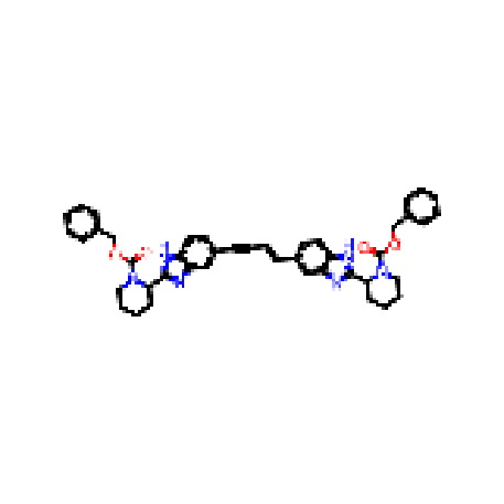 O=C(OCc1ccccc1)N1CCCCC1c1nc2cc(C#CC=Cc3ccc4[nH]c(C5CCCCN5C(=O)OCc5ccccc5)nc4c3)ccc2[nH]1